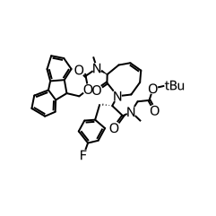 CN(CC(=O)OC(C)(C)C)C(=O)[C@H](Cc1ccc(F)cc1)N1CC/C=C\C[C@H](N(C)C(=O)OCC2c3ccccc3-c3ccccc32)C1=O